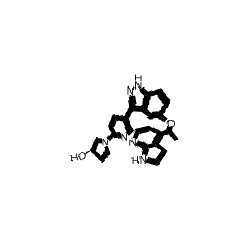 CC(Oc1ccc2[nH]nc(-c3ccc(N4CC[C@H](O)C4)nc3)c2c1)c1ccnc2[nH]ccc12